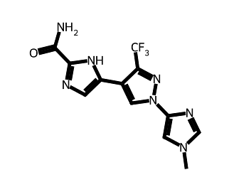 Cn1cnc(-n2cc(-c3cnc(C(N)=O)[nH]3)c(C(F)(F)F)n2)c1